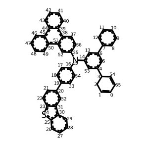 C1=CCC(c2cc(-c3ccccc3)cc(N(c3ccc(-c4ccc5sc6ccccc6c5c4)cc3)c3ccc4c5ccccc5c5ccccc5c4c3)c2)C=C1